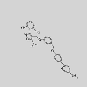 Bc1ccc(-c2ccc(OCc3cccc(OCc4c(-c5c(Cl)cccc5Cl)noc4C(C)C)c3)cc2)cc1